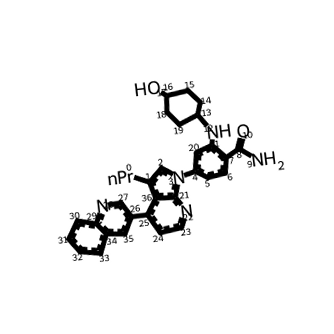 CCCc1cn(-c2ccc(C(N)=O)c(NC3CCC(O)CC3)c2)c2nccc(-c3cnc4ccccc4c3)c12